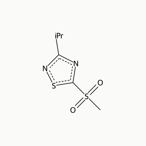 CC(C)c1nsc(S(C)(=O)=O)n1